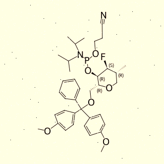 COc1ccc(C(OC[C@H]2OC[C@@H](C)[C@H](F)[C@@H]2OP(OCCC#N)N(C(C)C)C(C)C)(c2ccccc2)c2ccc(OC)cc2)cc1